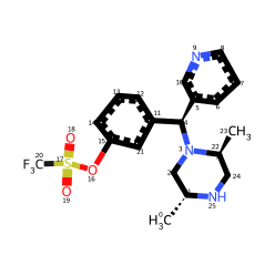 C[C@@H]1CN([C@H](c2cccnc2)c2cccc(OS(=O)(=O)C(F)(F)F)c2)[C@@H](C)CN1